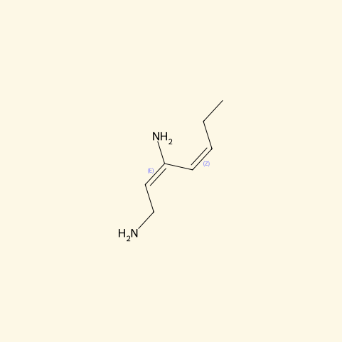 CC/C=C\C(N)=C/CN